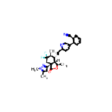 Cc1cc([C@@]23CC(F)(F)[C@@H](C)[C@H](/C=C/c4ccc(-c5ccccc5C#N)cn4)[C@@H]2[C@@H](C)OC3=O)nn1C